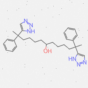 CC(CCCCC(O)CCCCC(C)(c1ccccc1)c1cnn[nH]1)(c1ccccc1)c1cnn[nH]1